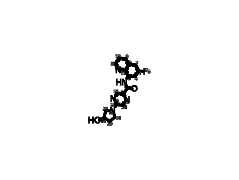 O=C(Nc1cc(F)cc2cccnc12)c1cnc(N2CC[C@H](O)C2)cn1